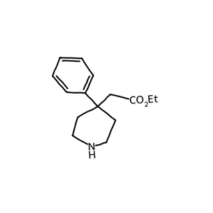 CCOC(=O)CC1(c2ccccc2)CCNCC1